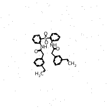 C=Cc1cccc(CC(=O)Nc2ccccc2S(=O)(=O)c2ccccc2NC(=O)Cc2cccc(C=C)c2)c1